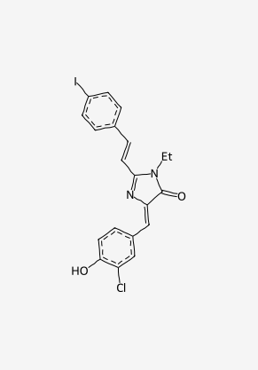 CCN1C(=O)/C(=C/c2ccc(O)c(Cl)c2)N=C1/C=C/c1ccc(I)cc1